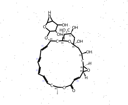 C[C@@H]1C/C=C/C=C/C=C/C=C/[C@H](OC2OC3NC3C(O)C2O)C[C@@H]2O[C@](O)(C[C@@H](O)C[C@H]3O[C@@H]3/C=C/C(=O)O1)C[C@H](O)[C@H]2C(=O)O